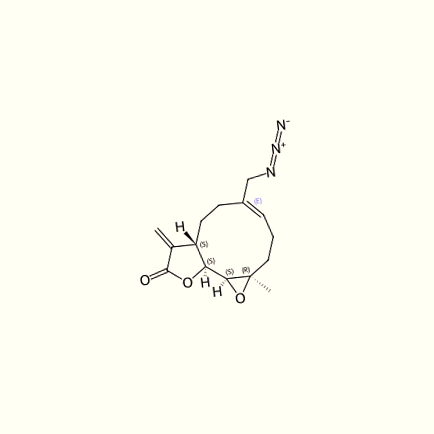 C=C1C(=O)O[C@H]2[C@H]1CC/C(CN=[N+]=[N-])=C\CC[C@@]1(C)O[C@@H]21